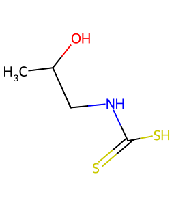 CC(O)CNC(=S)S